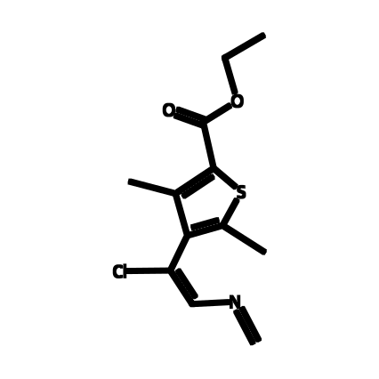 C=N/C=C(/Cl)c1c(C)sc(C(=O)OCC)c1C